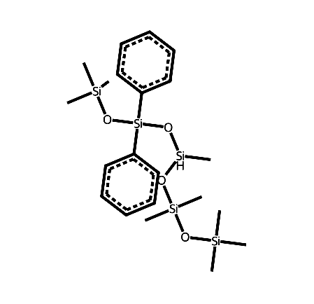 C[SiH](O[Si](C)(C)O[Si](C)(C)C)O[Si](O[Si](C)(C)C)(c1ccccc1)c1ccccc1